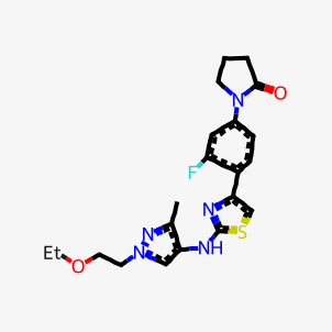 CCOCCn1cc(Nc2nc(-c3ccc(N4CCCC4=O)cc3F)cs2)c(C)n1